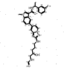 CC(NC(=O)c1cn(C)c2ccc(-c3ccn4nc(NCCCC(O)CNC=O)nc4c3)cc12)c1cccc(F)c1